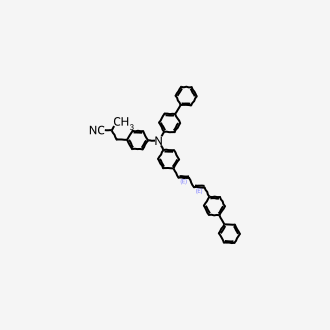 CC(C#N)Cc1ccc(N(c2ccc(/C=C/C=C/c3ccc(-c4ccccc4)cc3)cc2)c2ccc(-c3ccccc3)cc2)cc1